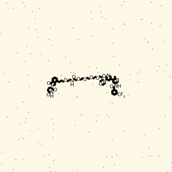 Cc1ncc(NC(=O)c2cccc(C(F)(F)F)c2)cc1-c1cnc(OCCOCCOCCOCCOCC(=O)NCCOCCCc2cccc3c2CN(C2CCC(=O)NC2=O)C3=O)c(N2CCOCC2)c1